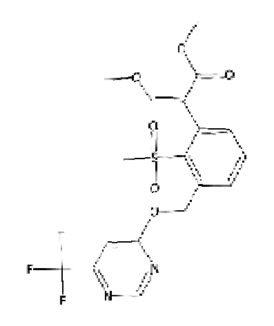 COC=C(C(=O)OC)c1cccc(COc2cc(C(F)(F)F)ncn2)c1S(C)(=O)=O